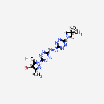 Cc1nn(-c2nnc(N=Nc3nnc(N4CC(C)([N+](=O)[O-])C4)nn3)nn2)c(C)c1Br